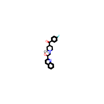 COC(CN1CCC(C(=O)c2ccc(F)cc2)CC1)c1ccc2ccccc2n1